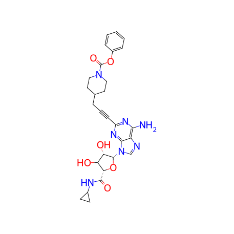 Nc1nc(C#CCC2CCN(C(=O)Oc3ccccc3)CC2)nc2c1ncn2[C@@H]1O[C@H](C(=O)NC2CC2)C(O)[C@@H]1O